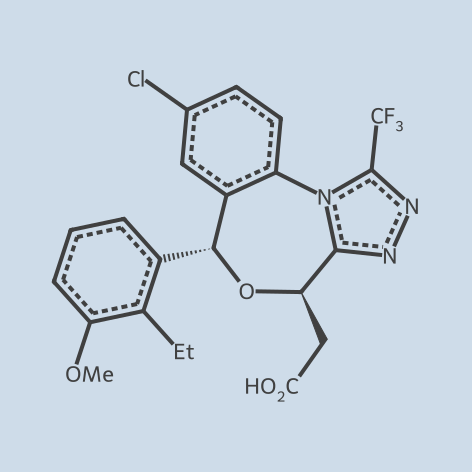 CCc1c(OC)cccc1[C@H]1O[C@H](CC(=O)O)c2nnc(C(F)(F)F)n2-c2ccc(Cl)cc21